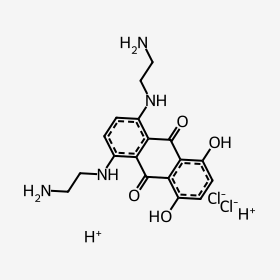 NCCNc1ccc(NCCN)c2c1C(=O)c1c(O)ccc(O)c1C2=O.[Cl-].[Cl-].[H+].[H+]